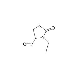 CCN1C(=O)CCC1C=O